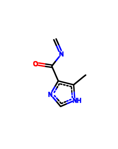 C=NC(=O)c1nc[nH]c1C